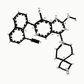 C#Cc1cccc2cccc(-c3ncc4c(N5CCC6(CC5)CNC6)nc(OC)nc4c3F)c12